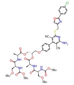 C[C@H](NC(=O)[C@H](COC(C)(C)C)NC(=O)OC(C)(C)C)C(=O)OC[C@H](COc1ccc(-c2c(C#N)c(N)nc(SCc3coc(-c4ccc(Cl)cc4)n3)c2C#N)cc1)OC(=O)[C@H](C)NC(=O)[C@H](COC(C)(C)C)NC(=O)OC(C)(C)C